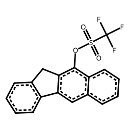 O=S(=O)(Oc1c2c(cc3ccccc13)-c1ccccc1C2)C(F)(F)F